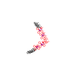 [Na+].[Na+].[Na+].[Na+].[Na+].[Na+].[Na+].[Na+].[O-2].[O-2].[O-2].[O-2].[O-][I+3]([O-])([O-])[O-].[O-][I+3]([O-])([O-])[O-].[O-][I+3]([O-])([O-])[O-].[O-][I+3]([O-])([O-])[O-].[Os+4]